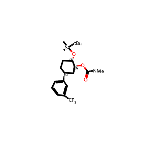 CNC(=O)O[C@H]1C[C@@H](c2cccc(C(F)(F)F)c2)CC[C@@H]1O[Si](C)(C)C(C)(C)C